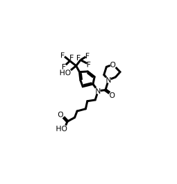 O=C(O)CCCCCN(C(=O)N1CCOCC1)c1ccc(C(O)(C(F)(F)F)C(F)(F)F)cc1